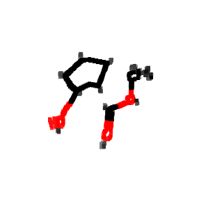 COC=O.OC1CCCC1